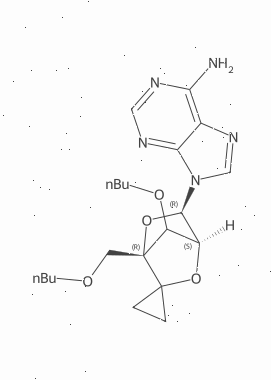 CCCCOC[C@]12O[C@@H](n3cnc4c(N)ncnc43)[C@@H](OC13CC3)C2OCCCC